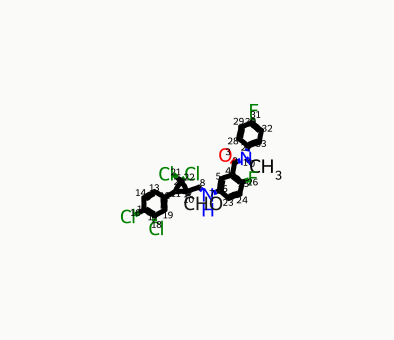 CN(C(=O)c1cc(NCC2(C=O)C(c3ccc(Cl)c(Cl)c3)C2(Cl)Cl)ccc1F)c1ccc(F)cc1